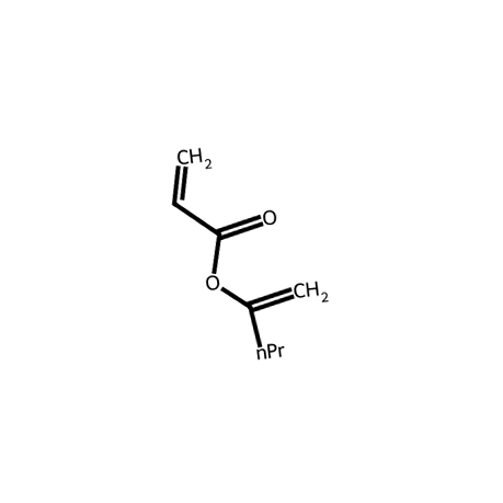 C=CC(=O)OC(=C)CCC